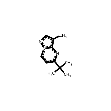 Cc1cnn2ccc(C(C)(C)C)nc12